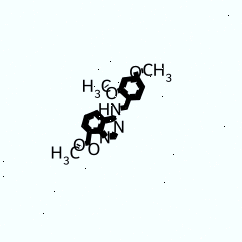 COC(=O)c1cccc2c(NCc3ccc(OC)cc3OC)ncnc12